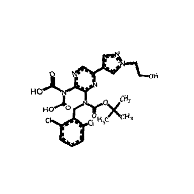 CC(C)(C)OC(=O)N(Cc1c(Cl)cccc1Cl)c1nc(-c2cnn(CCO)c2)cnc1N(C(=O)O)C(=O)O